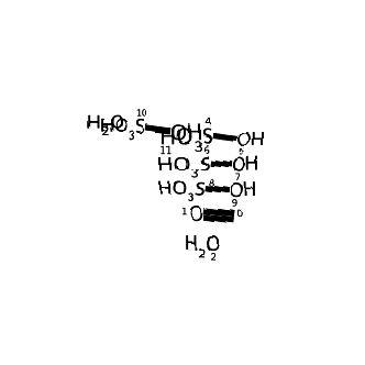 C=O.O.O.O=S(=O)(O)O.O=S(=O)(O)O.O=S(=O)(O)O.O=S(=O)(O)O